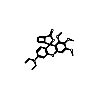 CCN(CC)c1ccc2c(c1)Oc1cc(OC)c(OC)c(OC)c1C21OC(=O)c2ccccc21